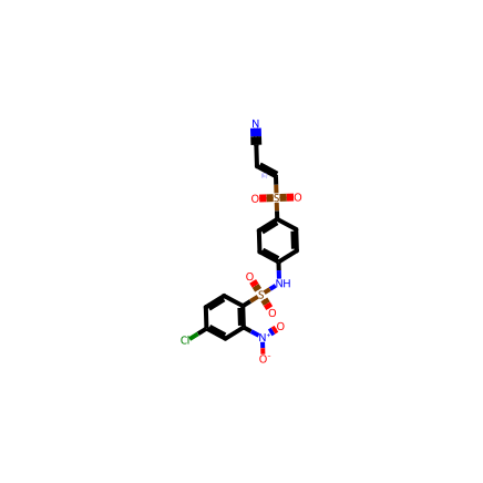 N#C/C=C/S(=O)(=O)c1ccc(NS(=O)(=O)c2ccc(Cl)cc2[N+](=O)[O-])cc1